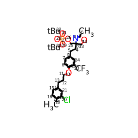 CC1=NC(CCc2ccc(OCCCc3ccc(C)c(Cl)c3)c(C(F)(F)F)c2)(COP(=O)(OC(C)(C)C)OC(C)(C)C)CO1